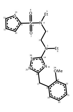 CCN(CCN(CC)S(=O)(=O)c1cccs1)c1nc(Cc2ccccc2OC)ns1